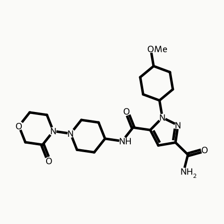 COC1CCC(n2nc(C(N)=O)cc2C(=O)NC2CCN(N3CCOCC3=O)CC2)CC1